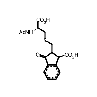 CC(=O)N[C@@H](CSCC1C(=O)c2ccccc2C1C(=O)O)C(=O)O